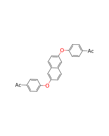 CC(=O)c1ccc(Oc2ccc3cc(Oc4ccc(C(C)=O)cc4)ccc3c2)cc1